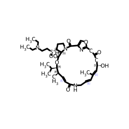 CCN(CC)CC[S+]([O-])[C@@H]1CCN2C(=O)c3coc(n3)CC(=O)C[C@H](O)/C=C(C)/C=C/CNC(=O)/C=C/[C@@H](C)[C@@H](C(C)C)OC(=O)[C@@H]12